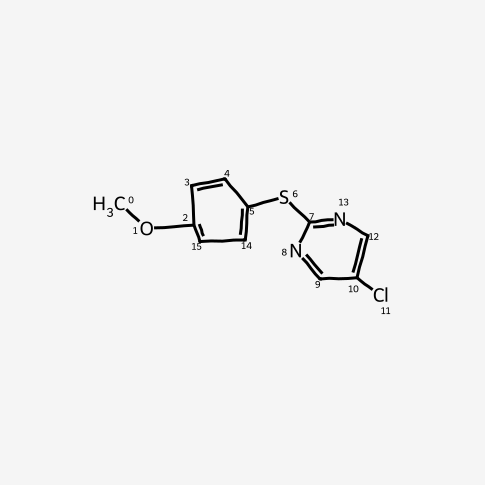 COc1ccc(Sc2ncc(Cl)cn2)cc1